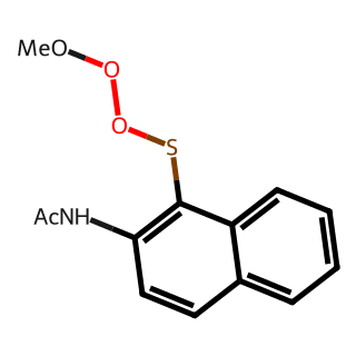 COOOSc1c(NC(C)=O)ccc2ccccc12